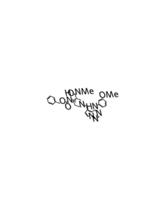 CNC(=O)C1CN(Cc2ccn3ncnc(Nc4cccc(OC)c4)c23)CC[C@@H]1NC(=O)OCc1ccccc1